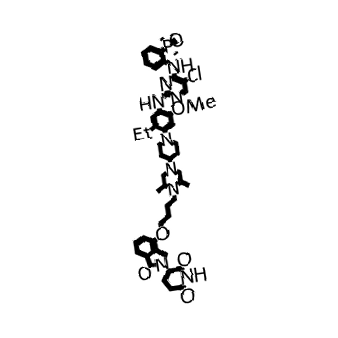 CCc1cc(Nc2ncc(Cl)c(Nc3ccccc3P(C)(C)=O)n2)c(OC)cc1N1CCC(N2CC(C)N(CCCCOc3cccc4c3CN(C3CCC(=O)NC3=O)C4=O)C(C)C2)CC1